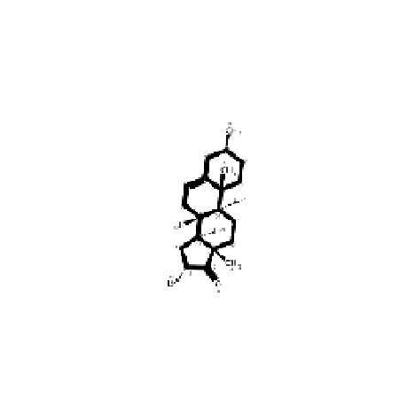 C[C@H]1CC[C@@]2(C)C(=CC[C@@H]3[C@@H]2CC[C@]2(C)C(=O)[C@H](Br)C[C@@H]32)C1